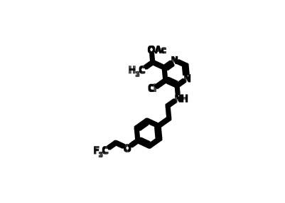 CC(=O)OC(C)c1ncnc(NCCc2ccc(OCC(F)(F)F)cc2)c1Cl